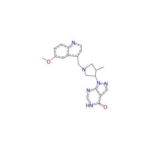 COc1ccc2nccc(CN3CC(C)C(n4ncc5c(=O)[nH]cnc54)C3)c2c1